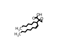 CCCCCC/C=C\C(CCCCCC)C1(C(=O)O)CO1